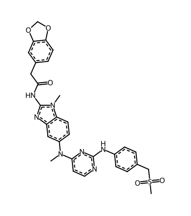 CN(c1ccc2c(c1)nc(NC(=O)Cc1ccc3c(c1)OCO3)n2C)c1ccnc(Nc2ccc(CS(C)(=O)=O)cc2)n1